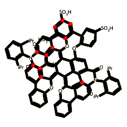 CC(C)c1cccc(C(C)C)c1N1C(=O)c2cc(Oc3ccccc3-c3ccccc3)c3c4c(Oc5ccccc5-c5ccccc5)cc5c6c(cc(Oc7ccc(S(=O)(=O)O)cc7-c7cccc(S(=O)(=O)O)c7)c(c7c(Oc8ccc(S(=O)(=O)O)cc8-c8cccc(S(=O)(=O)O)c8)cc(c2c37)C1=O)c64)C(=O)N(c1c(C(C)C)cccc1C(C)C)C5=O